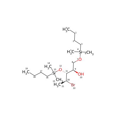 CCCC[Si](C)(C)OC[C@@H](O)[C@@H](O[Si](C)(C)CCCC)[C@H](C)Br